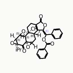 CC(C)[C@]12O[C@H]1[C@@H]1O[C@@]13[C@@]1(C)CCC4=C(/C(=C(\OC(=O)c5ccccc5)c5ccccc5)OC4=O)[C@@H]1C[C@@H]1O[C@@]13C2=O